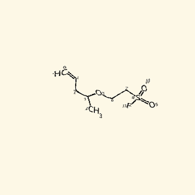 [CH]=CCC(C)OCCS(=O)(=O)F